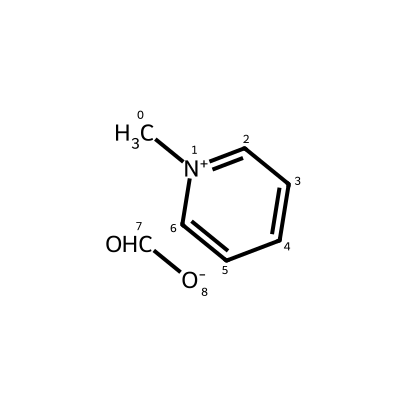 C[n+]1ccccc1.O=C[O-]